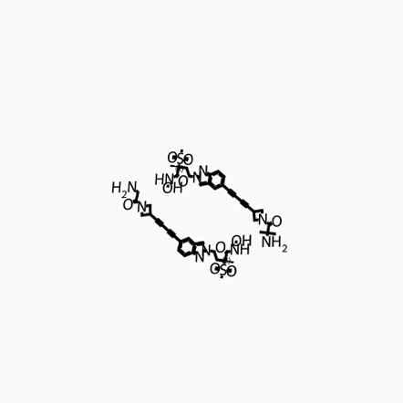 CC(C)(N)C(=O)N1CC(C#CC#Cc2ccc3nn(CC[C@](C)(C(=O)NO)S(C)(=O)=O)cc3c2)C1.C[C@@](CCn1cc2cc(C#CC#CC3CN(C(=O)CN)C3)ccc2n1)(C(=O)NO)S(C)(=O)=O